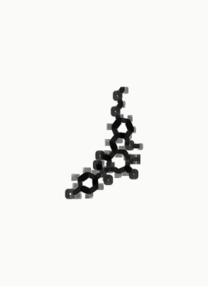 COCOc1ccc(OC)c(/C=C2\CNC(=O)CN(S(=O)(=O)c3ccc(Cl)cc3)C2=O)c1